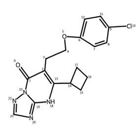 O=c1c(CCOc2ccc(Cl)cc2)c(C2CCC2)[nH]c2ncnn12